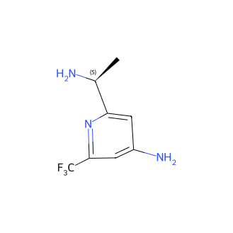 C[C@H](N)c1cc(N)cc(C(F)(F)F)n1